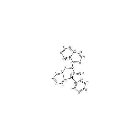 c1cnc2c(-c3cc4ccccc4n4c3nc3ccccc34)cccc2c1